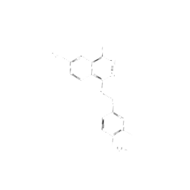 COc1ccc(CNc2nnc(Cl)c3cc(C#N)ccc23)cc1Cl